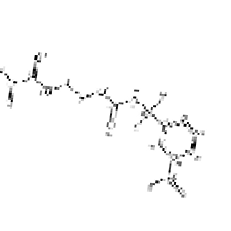 C=C(C)C(=O)OCCOC(=O)NC(C)(C)c1cccc(C(=C)C)c1